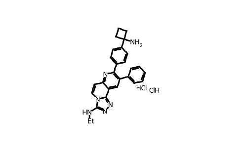 CCNc1nnc2c3cc(-c4ccccc4)c(-c4ccc(C5(N)CCC5)cc4)nc3ccn12.Cl.Cl